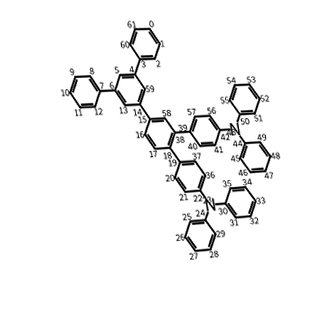 c1ccc(-c2cc(-c3ccccc3)cc(-c3ccc(-c4ccc(N(c5ccccc5)c5ccccc5)cc4)c(-c4ccc(N(c5ccccc5)c5ccccc5)cc4)c3)c2)cc1